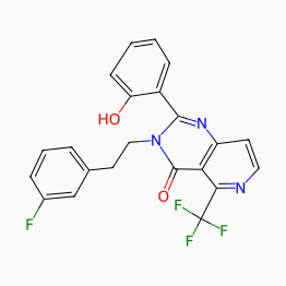 O=c1c2c(C(F)(F)F)nccc2nc(-c2ccccc2O)n1CCc1cccc(F)c1